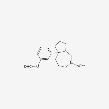 CCCCCCCCN1CCCC2(c3cccc(OC=O)c3)CCCC2C1